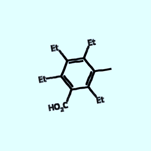 CCc1c(C)c(CC)c(C(=O)O)c(CC)c1CC